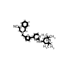 CC1(C)CC(Nc2nccc(-c3ccc(CN(CCC#N)Cc4ccccc4)s3)n2)CC(C)(C)N1